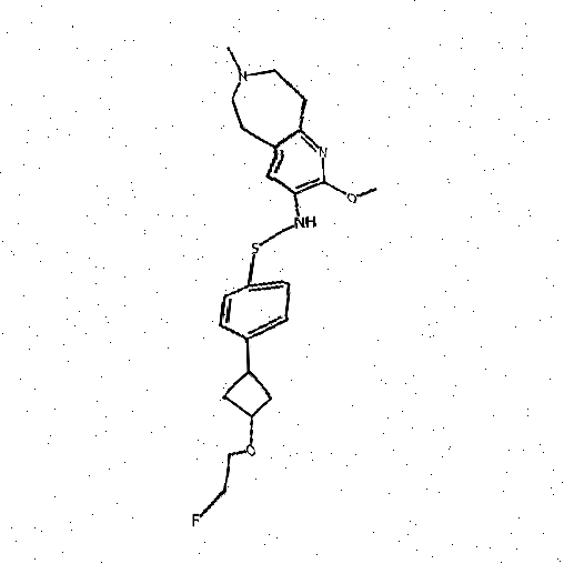 COc1nc2c(cc1NSc1ccc(C3CC(OCCF)C3)cc1)CCN(C)CC2